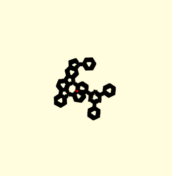 c1ccc(-c2nc(-c3ccccc3)nc(-c3ccc(-n4c5cc6c(ccn6-c6ccccc6)cc5c5ccc6c7ccccc7n(-c7ccccc7)c6c54)cc3)n2)cc1